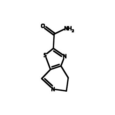 NC(=O)c1nc2c(s1)C=NCC2